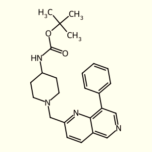 CC(C)(C)OC(=O)NC1CCN(Cc2ccc3cncc(-c4ccccc4)c3n2)CC1